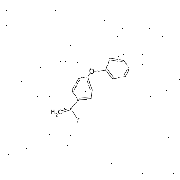 C=C(F)c1ccc(Oc2ccccc2)cc1